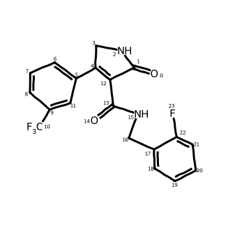 O=C1NCC(c2cccc(C(F)(F)F)c2)=C1C(=O)NCc1ccccc1F